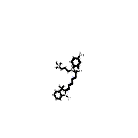 CCN1/C(=C/C=C/C=C/c2sc3cc(O)ccc3[n+]2CCC[N+](C)(C)C)C(C)(C)c2ccccc21